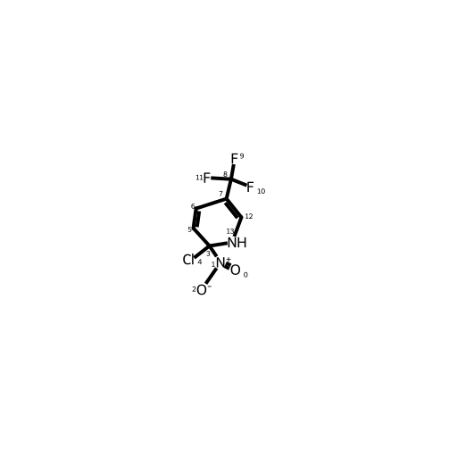 O=[N+]([O-])C1(Cl)C=CC(C(F)(F)F)=CN1